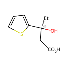 CC[C@](O)(CC(=O)O)c1cccs1